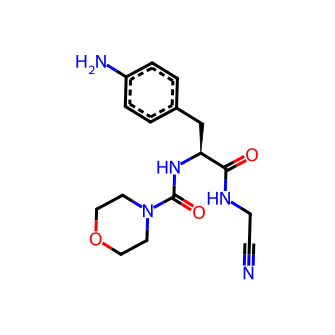 N#CCNC(=O)[C@H](Cc1ccc(N)cc1)NC(=O)N1CCOCC1